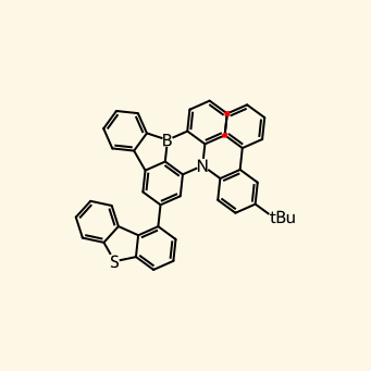 CC(C)(C)c1ccc(N2c3ccccc3B3c4ccccc4-c4cc(-c5cccc6sc7ccccc7c56)cc2c43)c(-c2ccccc2)c1